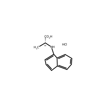 C[C@@H](Nc1cccc2ccccc12)C(=O)O.Cl